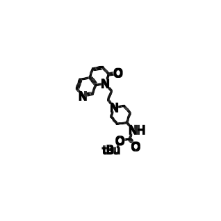 CC(C)(C)OC(=O)NC1CCN(CCn2c(=O)ccc3ccncc32)CC1